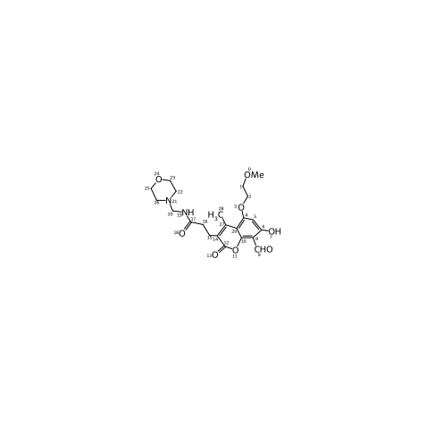 COCCOc1cc(O)c(C=O)c2oc(=O)c(CCC(=O)NCN3CCOCC3)c(C)c12